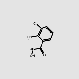 Nc1c(Cl)cccc1C(=O)NO